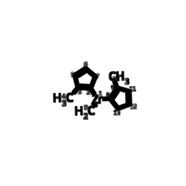 [CH2]=[Zr]([C]1=C(C)C=CC1)[C]1=C(C)C=CC1